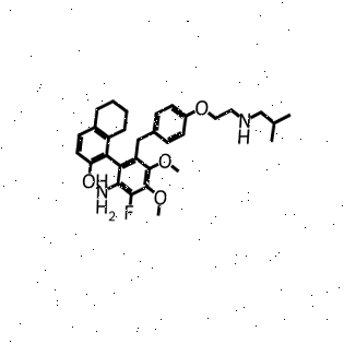 COc1c(F)c(N)c(-c2c(O)ccc3c2CCCC3)c(Cc2ccc(OCCNCC(C)C)cc2)c1OC